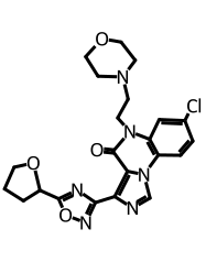 O=c1c2c(-c3noc(C4CCCO4)n3)ncn2c2ccc(Cl)cc2n1CCN1CCOCC1